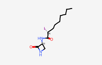 CCCCCCC[C@@H](I)C(=O)N[C@H]1CNC1=O